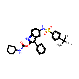 CC(C)(C)c1ccc(S(=O)(=O)Nc2ccc3[nH]c(OC(=O)NC4CCCCC4)c(-c4ccccc4)c3c2)cc1